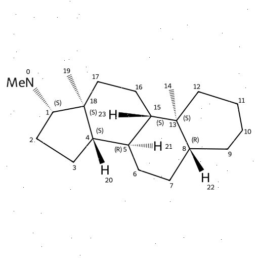 CN[C@H]1CC[C@H]2[C@@H]3CC[C@H]4CCCC[C@]4(C)[C@H]3CC[C@]12C